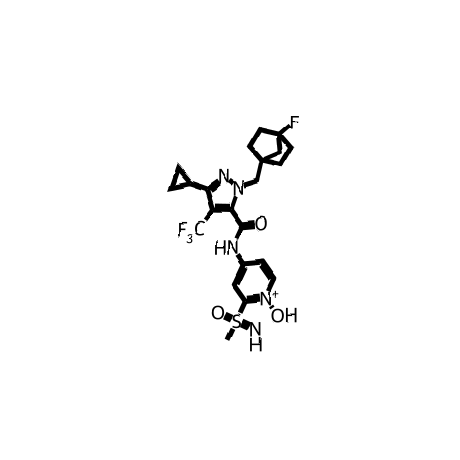 CS(=N)(=O)c1cc(NC(=O)c2c(C(F)(F)F)c(C3CC3)nn2CC23CCC(F)(CC2)C3)cc[n+]1O